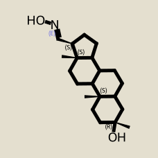 C[C@@]1(O)CC[C@@]2(C)C(CCC3C2CC[C@@]2(C)C3CC[C@@H]2/C=N/O)C1